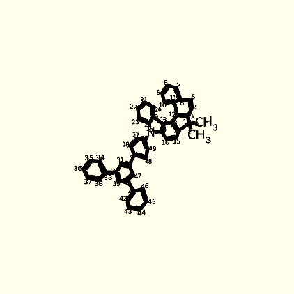 CC1(C)c2ccc3ccccc3c2-c2c1ccc1c2c2ccccc2n1-c1ccc(-c2cc(-c3ccccc3)cc(-c3ccccc3)c2)cc1